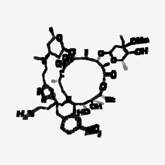 CC[C@H]1OC(=O)[C@H](C)[C@@H](O[C@H]2C[C@@](C)(OC)[C@@H](O)[C@H](C)O2)[C@H](C)[C@@H](O[C@@H]2O[C@H](C)C[C@H](N(C)CCc3cn(CCc4ccc([N+](=O)[O-])cc4)nn3)[C@H]2O)[C@](C)(O)C[C@@H](C)CN(CCCCN)[C@H](C)[C@@H](O)[C@]1(C)O